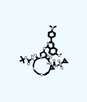 COc1ccc2c(OC3C[C@H]4C(=O)N[C@]5(C(=O)NS(=O)(=O)C6CC6)CC5/C=C\CCCSC[C@H](NC(=O)OC(C)(C)C)C(=O)N4C3)nc(-c3ccc(N(C)C)cc3)cc2c1